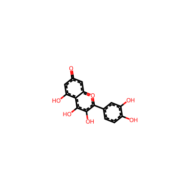 O=c1cc2oc(-c3ccc(O)c(O)c3)c(O)c(O)c-2c(O)c1